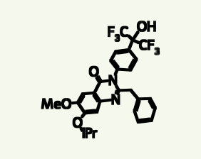 COc1cc2c(=O)n(-c3ccc(C(O)(C(F)(F)F)C(F)(F)F)cc3)c(Cc3ccccc3)nc2cc1OC(C)C